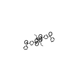 CCC[CH2][Sn]([CH2]CCC)([O]C(=O)c1ccc(C(=O)c2ccccc2)cc1)[O]C(=O)c1ccc(C(=O)c2ccccc2)cc1